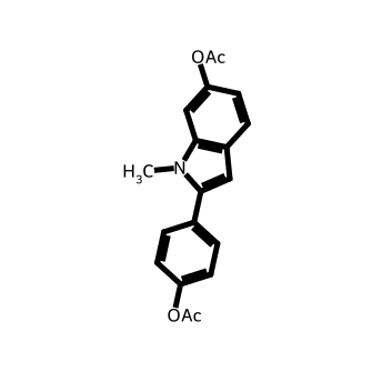 CC(=O)Oc1ccc(-c2cc3ccc(OC(C)=O)cc3n2C)cc1